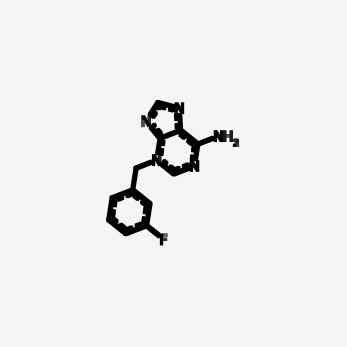 Nc1ncn(Cc2cccc(F)c2)c2ncnc1-2